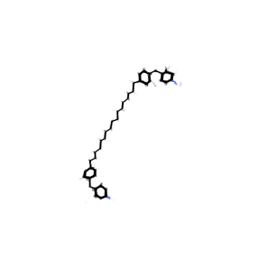 Cc1cc(N)cc(C)c1Cc1ccc(CCCCCCCCCCCCCCCCCc2ccc(Cc3c(C)cc(N)cc3C)cc2)cc1